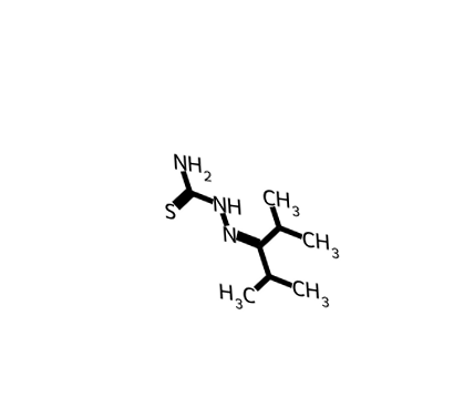 CC(C)C(=NNC(N)=S)C(C)C